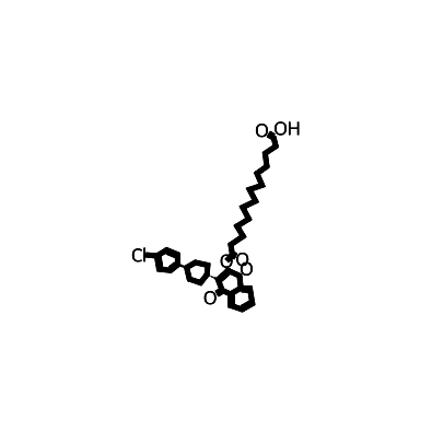 O=C(O)CCCCCCCCCCCCC(=O)OC1=C([C@H]2CC[C@H](c3ccc(Cl)cc3)CC2)C(=O)c2ccccc2C1=O